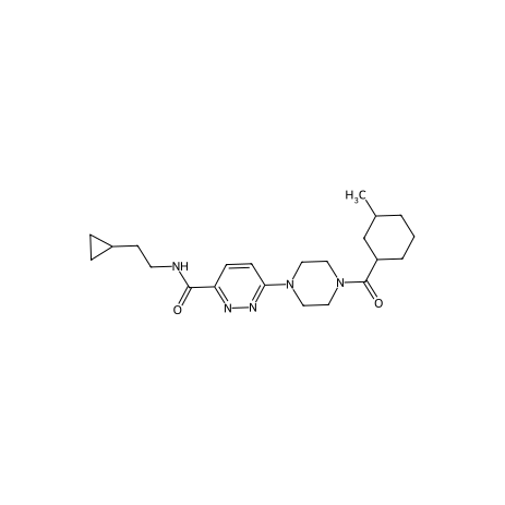 CC1CCCC(C(=O)N2CCN(c3ccc(C(=O)NCCC4CC4)nn3)CC2)C1